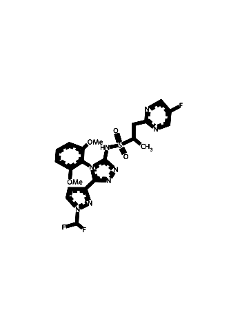 COc1cccc(OC)c1-n1c(NS(=O)(=O)C(C)Cc2ncc(F)cn2)nnc1-c1ccn(C(F)F)n1